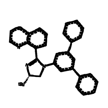 CC(C)(C)[C@H]1CN(c2cc(-c3ccccc3)cc(-c3ccccc3)c2)C(c2cccc3cccnc23)=N1